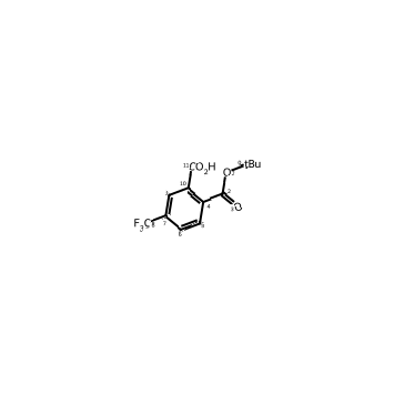 CC(C)(C)OC(=O)c1ccc(C(F)(F)F)cc1C(=O)O